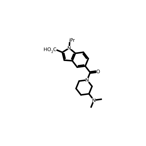 CC(C)n1c(C(=O)O)cc2cc(C(=O)N3CCCC(N(C)C)C3)ccc21